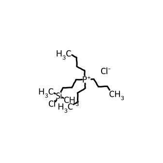 CCCC[P+](CCCC)(CCCC)CCC[Si](C)(C)Cl.[Cl-]